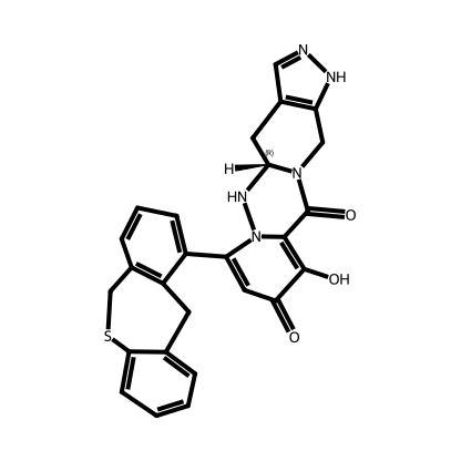 O=C1c2c(O)c(=O)cc(-c3cccc4c3Cc3ccccc3SC4)n2N[C@@H]2Cc3cn[nH]c3CN12